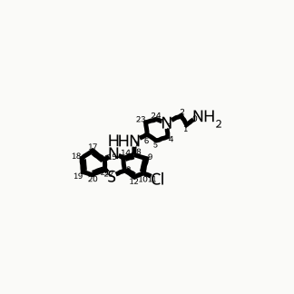 NCCN1CCC(Nc2cc(Cl)cc3c2Nc2ccccc2S3)CC1